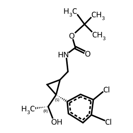 C[C@@H](O)[C@@]1(c2ccc(Cl)c(Cl)c2)CC1CNC(=O)OC(C)(C)C